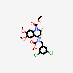 CCOC(=O)N1c2cc(OC)c(OC)cc2[C@@H](N(Cc2cc(Cl)cc(Cl)c2)C(=O)OC)C[C@H]1C